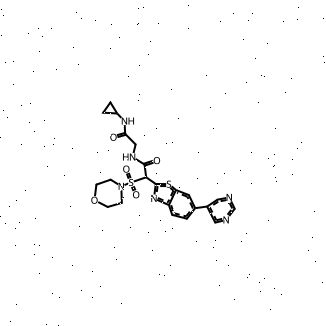 O=C(CNC(=O)C(c1nc2ccc(-c3cncnc3)cc2s1)S(=O)(=O)N1CCOCC1)NC1CC1